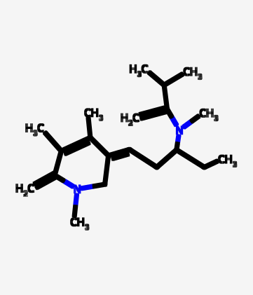 C=C1C(C)=C(C)/C(=C/CC(CC)N(C)C(=C)C(C)C)CN1C